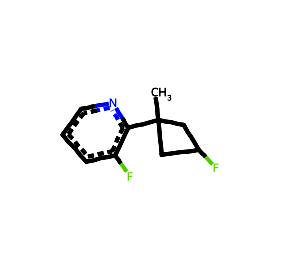 CC1(c2ncccc2F)CC(F)C1